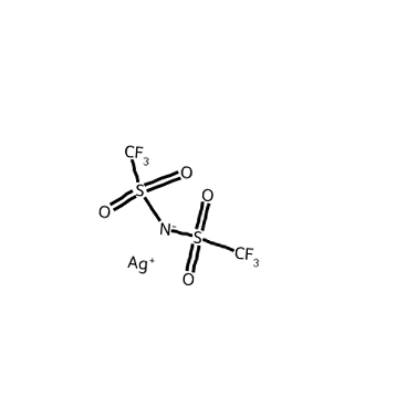 O=S(=O)([N-]S(=O)(=O)C(F)(F)F)C(F)(F)F.[Ag+]